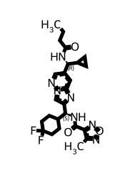 CCCC(=O)N[C@@H](c1cnn2cc([C@@H](NC(=O)c3nonc3C)C3CCC(F)(F)CC3)nc2c1)C1CC1